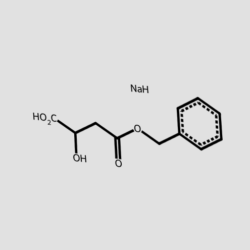 O=C(CC(O)C(=O)O)OCc1ccccc1.[NaH]